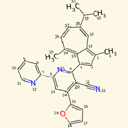 Cc1cc(-c2nc(-c3ccccn3)cc(-c3ccco3)c2C#N)c2c(C)ccc(C(C)C)cc1-2